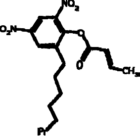 CC=CC(=O)Oc1c(CCCCCC(C)C)cc([N+](=O)[O-])cc1[N+](=O)[O-]